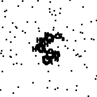 O=C(c1cccnc1-n1nccn1)N1C[C@@H]2C[C@@H](Nc3ncc(C(F)(F)F)cn3)[C@@H]1C2